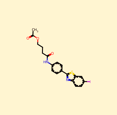 CC(=O)OCCCC(=O)Nc1ccc(-c2nc3ccc(I)cc3s2)cc1